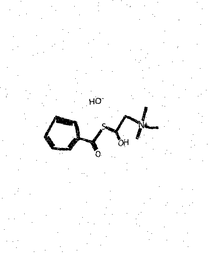 C[N+](C)(C)CC(O)SC(=O)c1ccccc1.[OH-]